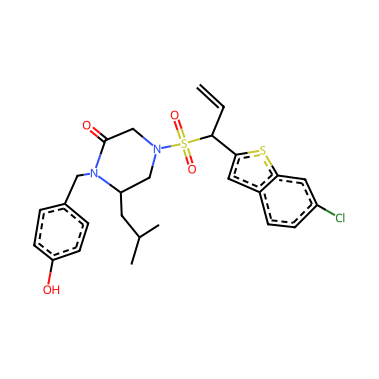 C=CC(c1cc2ccc(Cl)cc2s1)S(=O)(=O)N1CC(=O)N(Cc2ccc(O)cc2)C(CC(C)C)C1